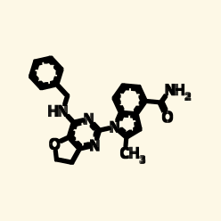 Cc1cc2c(C(N)=O)cccc2n1-c1nc2c(c(NCc3ccccc3)n1)OCC2